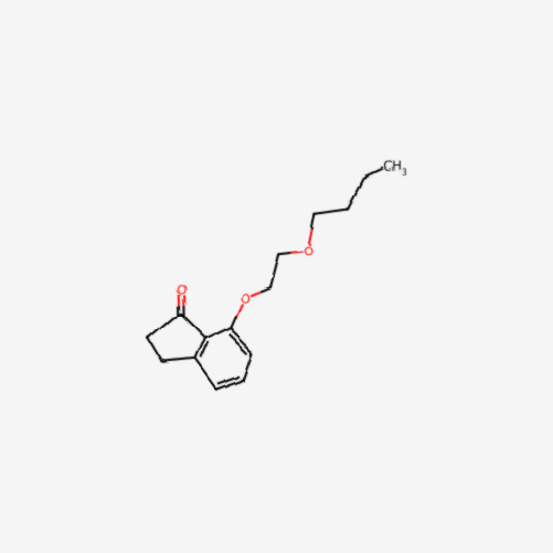 CCCCOCCOc1cccc2c1C(=O)CC2